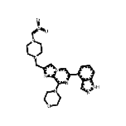 O=S(=O)=CN1CCN(Cc2cn3cc(-c4cccc5[nH]ncc45)nc(N4CCOCC4)c3n2)CC1